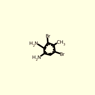 Cc1c(Br)cc(N)c(N)c1Br